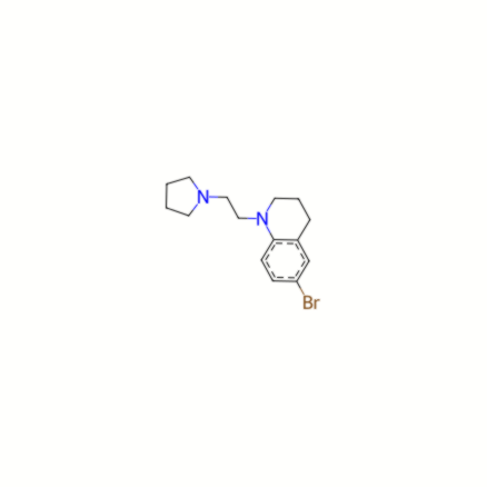 Brc1ccc2c(c1)CCCN2CCN1CCCC1